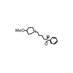 CO[C]1CCN(CCCCS(=O)(=O)c2ccccc2)CC1